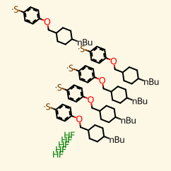 CCCCC1CCC(COc2ccc([S])cc2)CC1.CCCCC1CCC(COc2ccc([S])cc2)CC1.CCCCC1CCC(COc2ccc([S])cc2)CC1.CCCCC1CCC(COc2ccc([S])cc2)CC1.CCCCC1CCC(COc2ccc([S])cc2)CC1.F.F.F.F.F